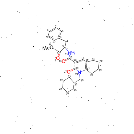 COC(=O)C(Cc1ccccc1)NC(=O)c1cc2c(n(CC3CCCCC3)c1=O)CCCC2